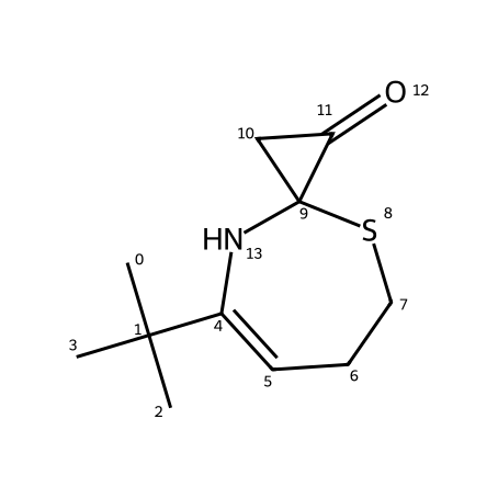 CC(C)(C)C1=CCCSC2(CC2=O)N1